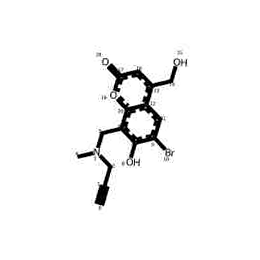 C#CCN(C)Cc1c(O)c(Br)cc2c(CO)cc(=O)oc12